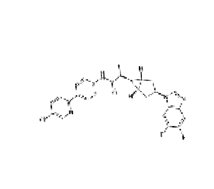 C[C@H](C(=O)Nc1ccc(-c2ccc(Cl)cn2)cc1)[C@H]1[C@@H]2C[C@@H](n3cnc4cc(F)c(F)cc43)C[C@@H]21